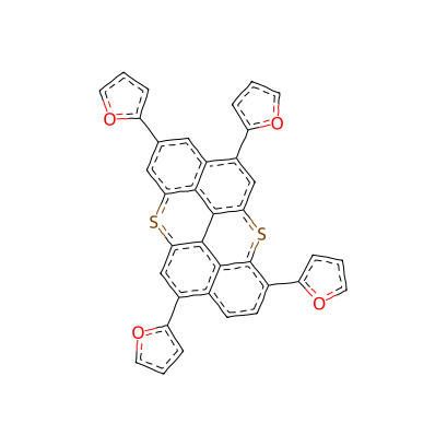 c1coc(-c2cc3sc4cc(-c5ccco5)c5ccc(-c6ccco6)c6sc7cc(-c8ccco8)c(c2)c3c7-c4c56)c1